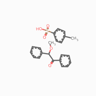 COC(C(=O)c1ccccc1)c1ccccc1.Cc1ccc(S(=O)(=O)O)cc1